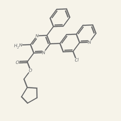 Nc1nc(-c2ccccc2)c(-c2cc(Cl)c3ncccc3c2)nc1C(=O)OCC1CCCC1